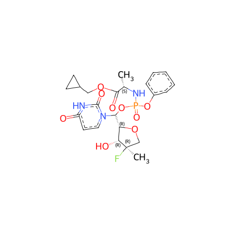 C[C@H](NP(=O)(Oc1ccccc1)OC([C@@H]1OC[C@@](C)(F)[C@@H]1O)n1ccc(=O)[nH]c1=O)C(=O)OCC1CC1